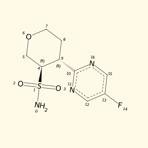 NS(=O)(=O)[C@H]1COCC[C@@H]1c1ncc(F)cn1